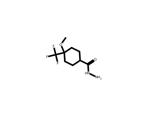 COC1(C(F)(F)F)CCC(C(=O)NN)CC1